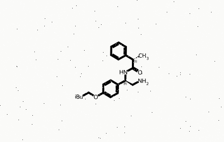 CCC(C)COc1ccc([C@H](CN)NC(=O)[C@@H](C)c2ccccc2)cc1